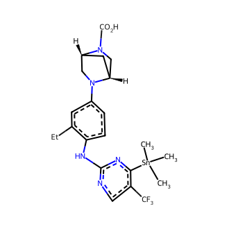 CCc1cc(N2C[C@H]3C[C@@H]2CN3C(=O)O)ccc1Nc1ncc(C(F)(F)F)[c]([Sn]([CH3])([CH3])[CH3])n1